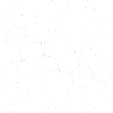 O=C(CNc1ccc(Cl)cc1F)Nc1ccccc1C(=O)O